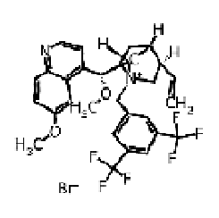 C=C[C@H]1C[N@+]2(Cc3cc(C(F)(F)F)cc(C(F)(F)F)c3)CC[C@H]1C[C@H]2[C@H](OC)c1ccnc2ccc(OC)cc12.[Br-]